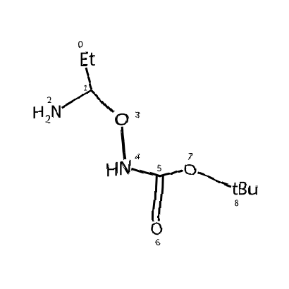 CCC(N)ONC(=O)OC(C)(C)C